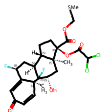 CSCOC(=O)[C@@]1(OC(=O)C(Cl)Cl)CC[C@H]2[C@@H]3C[C@H](F)C4=CC(=O)C=C[C@]4(C)[C@@]3(F)[C@@H](O)C[C@@]21C